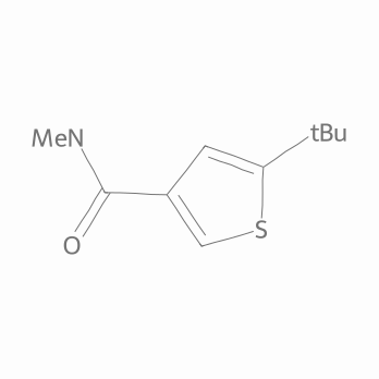 CNC(=O)c1csc(C(C)(C)C)c1